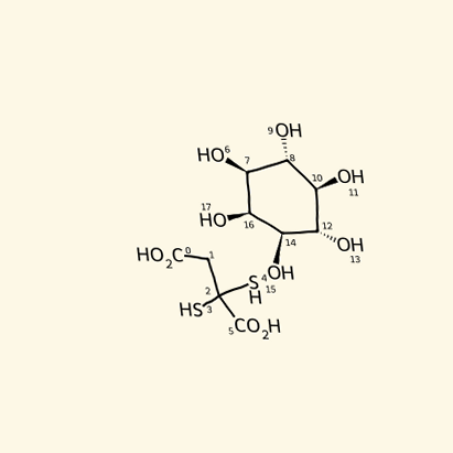 O=C(O)CC(S)(S)C(=O)O.O[C@H]1[C@H](O)[C@@H](O)[C@H](O)[C@@H](O)[C@H]1O